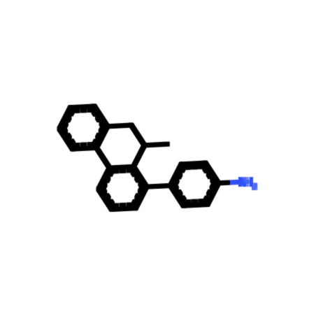 CC1Cc2ccccc2-c2cccc(-c3ccc(N)cc3)c21